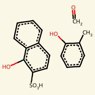 C=O.Cc1ccccc1O.O=S(=O)(O)c1ccc2ccccc2c1O